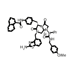 COc1ccc(CNC(=O)N(C(C)C)N2CC(=O)N3[C@@H](Cc4ccc(NC(=O)c5cccc6ccccc56)cc4)C(=O)N(Cc4cccc5sc(N)nc45)C[C@@H]32)cc1